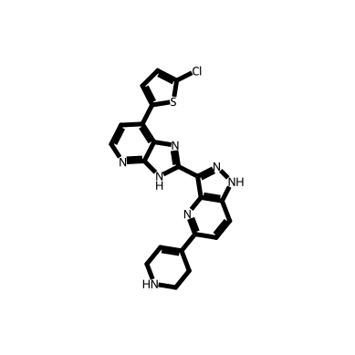 Clc1ccc(-c2ccnc3[nH]c(-c4n[nH]c5ccc(C6=CCNCC6)nc45)nc23)s1